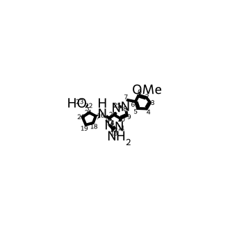 COc1ccccc1Cn1cc2nc(N)nc(N[C@@H]3CCC[C@@H]3CO)c2n1